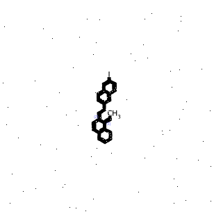 C/C=c1/c2c(cc/c1=C/Cc1ccc3cc(I)ccc3c1)C=CCC2